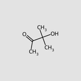 CC(=O)C(C)(C)O